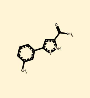 Cc1cccc(-c2cc(C(N)=O)[nH]n2)c1